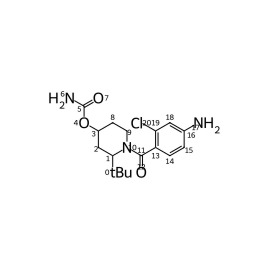 CC(C)(C)C1CC(OC(N)=O)CCN1C(=O)c1ccc(N)cc1Cl